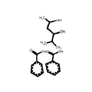 CC(O)CC(O)C(C)C.O=C(O)c1ccccc1.O=C(O)c1ccccc1